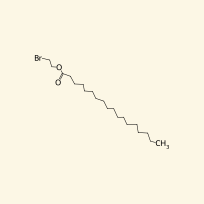 CCCCCCCCCCCCCCCCCC(=O)OCCBr